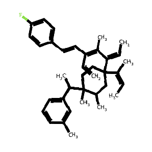 C=CC(/C=C/c1ccc(F)cc1)=C(C)\C(=C/C)C1(/C(C)=C\C)CCC(C)(C(C)c2cccc(C)c2)C(C)C1